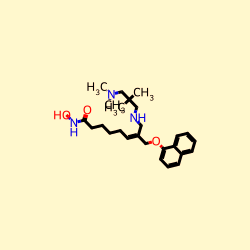 CN(C)CC(C)(C)CNCC(=CCCCCC(=O)NO)COc1cccc2ccccc12